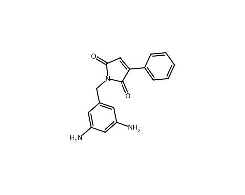 Nc1cc(N)cc(CN2C(=O)C=C(c3ccccc3)C2=O)c1